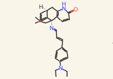 C/C=C1\[C@H]2C=C(C)C[C@]1(N=CC=Cc1ccc(N(CC)CC)cc1)c1ccc(=O)[nH]c1C2